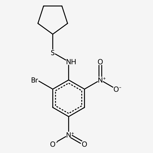 O=[N+]([O-])c1cc(Br)c(NSC2CCCC2)c([N+](=O)[O-])c1